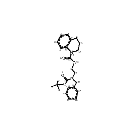 CC(C)(C)OC(=O)N(CCOC(=O)N1CCCc2ccccc21)Cc1ccccc1